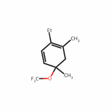 CCC1=C(C)CC(C)(OC(F)(F)F)C=C1